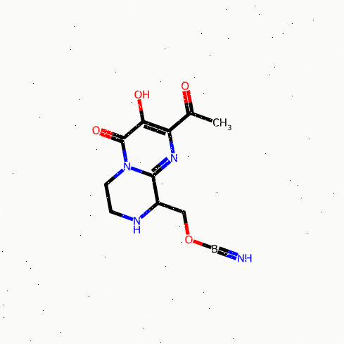 CC(=O)c1nc2n(c(=O)c1O)CCNC2COB=N